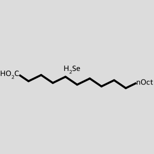 CCCCCCCCCCCCCCCCCC(=O)O.[SeH2]